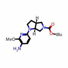 COc1nc(N2CC[C@@H]3CN(C(=O)OC(C)(C)C)C[C@@H]32)ccc1N